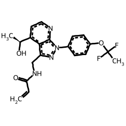 C=CC(=O)NCc1nn(-c2ccc(OC(C)(F)F)cc2)c2nccc([C@H](C)O)c12